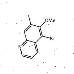 COc1c(C)cc2ncccc2c1Br